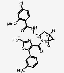 COc1cc(Cl)ccc1C(=O)NC[C@@H]1C[C@@H]2C[C@@H]2N1C(=O)c1nc(C)sc1-c1cccc(C)c1